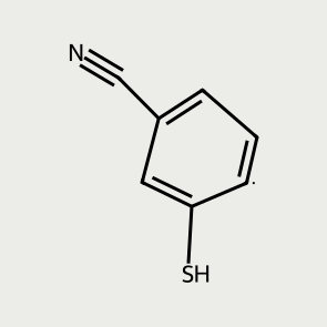 N#Cc1cc[c]c(S)c1